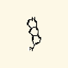 CC(C)c1ccc2cc3cnccc3cc2c1